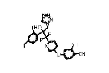 N#Cc1ccc(Oc2ccc(C(F)(F)C(O)(Cn3cnnn3)c3ccc(CI)cc3F)nc2)cc1S